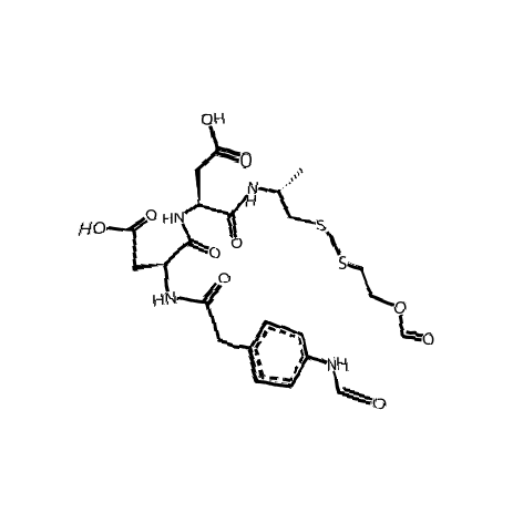 C[C@H](CSSCCOC=O)NC(=O)[C@H](CC(=O)O)NC(=O)[C@H](CC(=O)O)NC(=O)Cc1ccc(NC=O)cc1